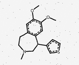 COc1cc2c(cc1OC)C(c1ccsc1)CN(C)CC2